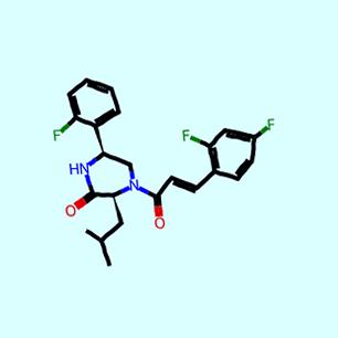 CC(C)C[C@H]1C(=O)N[C@@H](c2ccccc2F)CN1C(=O)C=Cc1ccc(F)cc1F